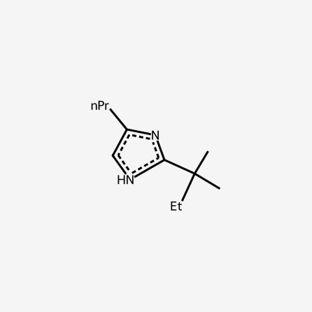 CCCc1c[nH]c(C(C)(C)CC)n1